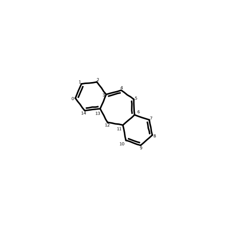 C1=CCC2=CC=C3C=CC=CC3CC2=C1